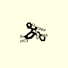 COC(=O)c1c(-c2ccccc2)c2cc(Br)ccc2c(=O)n1CC1CCCCN1.Cl